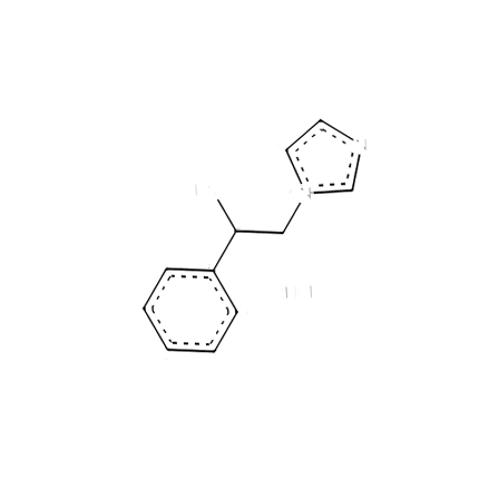 Cl.SC(Cn1ccnc1)c1ccccc1